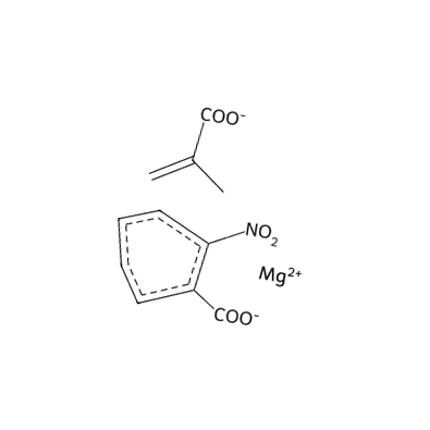 C=C(C)C(=O)[O-].O=C([O-])c1ccccc1[N+](=O)[O-].[Mg+2]